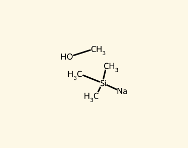 CO.C[Si](C)(C)[Na]